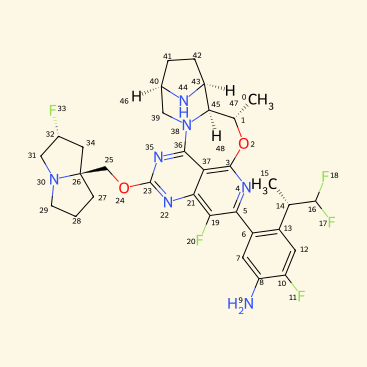 C[C@@H]1Oc2nc(-c3cc(N)c(F)cc3[C@H](C)C(F)F)c(F)c3nc(OC[C@@]45CCCN4C[C@H](F)C5)nc(c23)N2C[C@H]3CC[C@H](N3)[C@@H]12